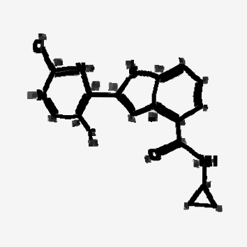 O=C(NC1CC1)c1cccc2sc(-c3nc(Cl)ncc3F)cc12